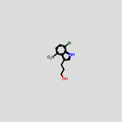 O=[N+]([O-])c1ccc(Br)c2[nH]cc(CCCO)c12